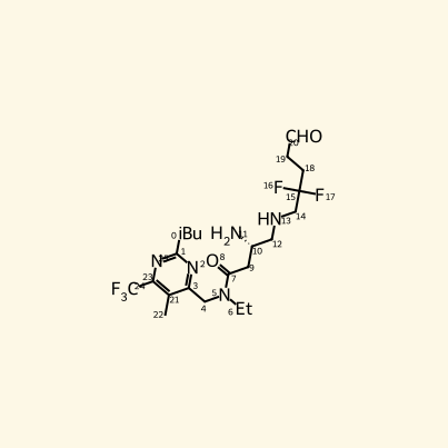 CCC(C)c1nc(CN(CC)C(=O)C[C@H](N)CNCC(F)(F)CCC=O)c(C)c(C(F)(F)F)n1